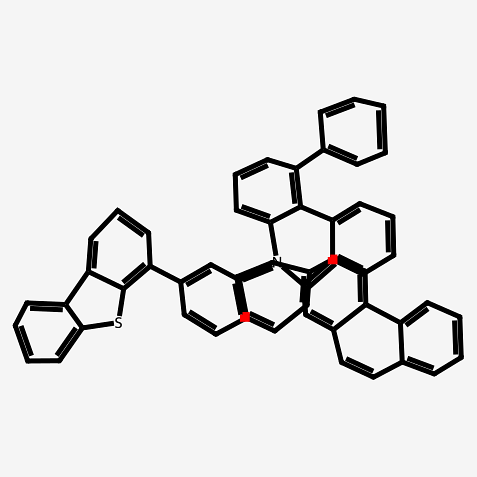 c1ccc(-c2ccccc2-c2c(-c3ccccc3)cccc2N(c2cccc(-c3cccc4c3sc3ccccc34)c2)c2ccc3c(ccc4ccccc43)c2)cc1